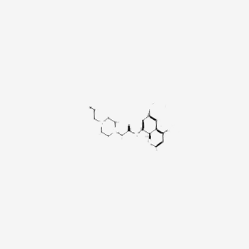 COc1cc(NC(=O)CN2CCN(CCO)CC2)c2nccc(C)c2c1